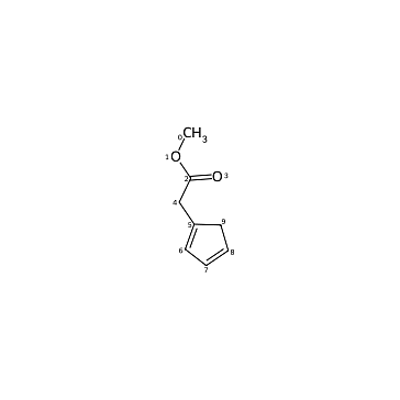 COC(=O)CC1=CC=CC1